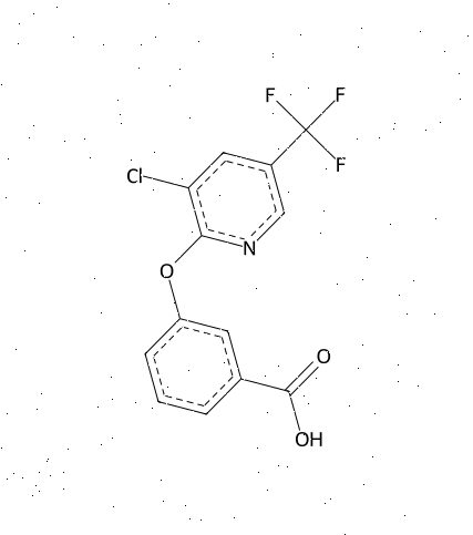 O=C(O)c1cccc(Oc2ncc(C(F)(F)F)cc2Cl)c1